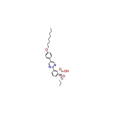 CCCCCCCCOc1ccc(-c2cnc(-c3cccc([C@@]4(C(=O)O)O[C@@H]4CCC)c3)nc2)cc1